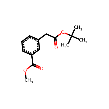 COC(=O)c1cccc(CC(=O)OC(C)(C)C)c1